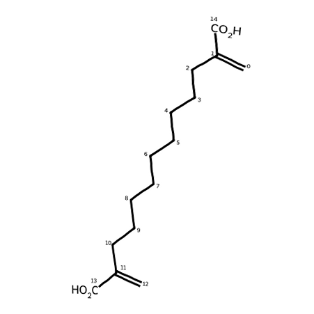 C=C(CCCCCCCCCC(=C)C(=O)O)C(=O)O